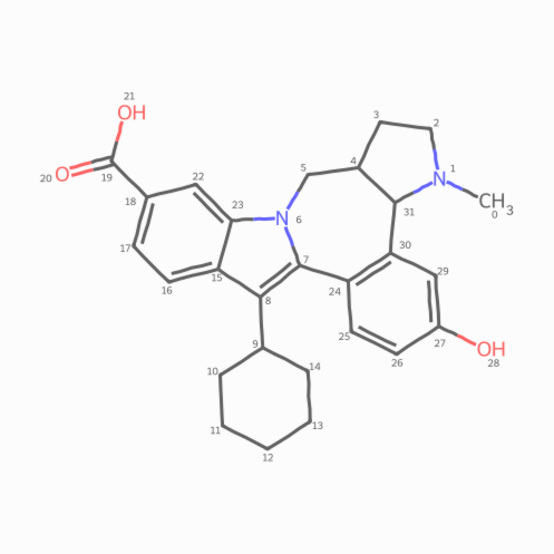 CN1CCC2Cn3c(c(C4CCCCC4)c4ccc(C(=O)O)cc43)-c3ccc(O)cc3C21